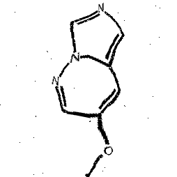 COc1cnn2cncc2c1